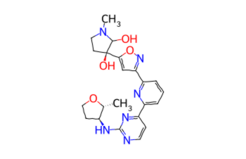 C[C@H]1OCC[C@@H]1Nc1nccc(-c2cccc(-c3cc([C@]4(O)CCN(C)C4O)on3)n2)n1